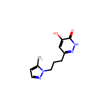 O=c1[nH]nc(CCCn2nccc2C(F)(F)F)cc1O